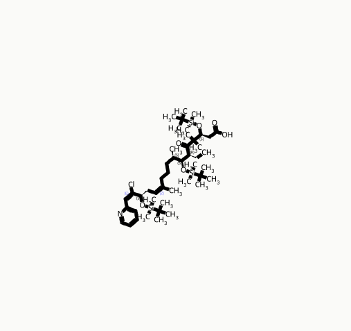 CC[C@@H](C(=O)C(C)(C)[C@H](CC(=O)O)O[Si](C)(C)C(C)(C)C)[C@@H](O[Si](C)(C)C(C)(C)C)[C@@H](C)CCC/C(C)=C\C[C@H](O[Si](C)(C)C(C)(C)C)/C(Cl)=C\c1ccccn1